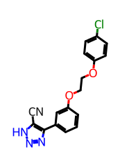 N#Cc1[nH]nnc1-c1cccc(OCCOc2ccc(Cl)cc2)c1